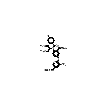 COCC(COC)N(c1ccc(Oc2ncc(CC(=O)O)cc2C(F)(F)F)cc1C(=O)OC)C(=O)[C@H]1CC[C@H](C)CC1